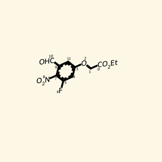 CCOC(=O)COc1cc(F)c([N+](=O)[O-])c(C=O)c1